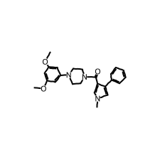 COc1cc(OC)cc(N2CCN(C(=O)c3cn(C)cc3-c3ccccc3)CC2)c1